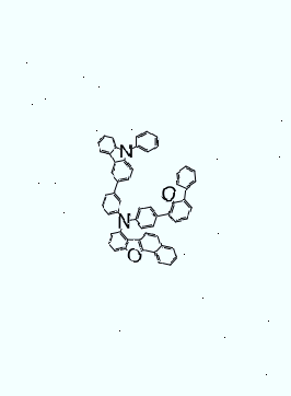 c1ccc(-n2c3ccccc3c3cc(-c4cccc(N(c5ccc(-c6cccc7c6oc6ccccc67)cc5)c5cccc6oc7c8ccccc8ccc7c56)c4)ccc32)cc1